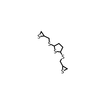 C1SC1CSC1CCC(SCC2CS2)S1